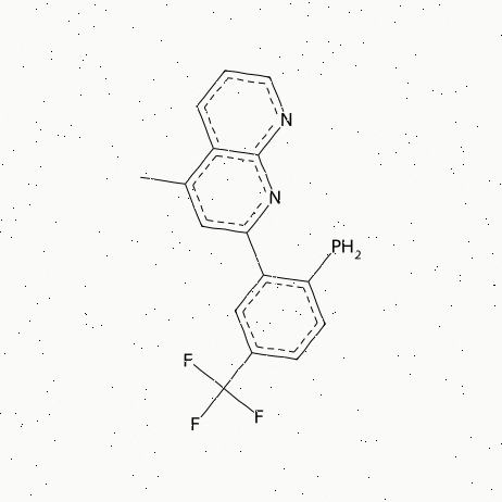 Cc1cc(-c2cc(C(F)(F)F)ccc2P)nc2ncccc12